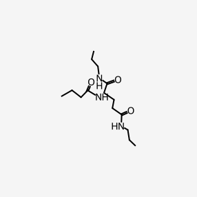 CCCNC(=O)CCC(NC(=O)CCC)C(=O)NCCC